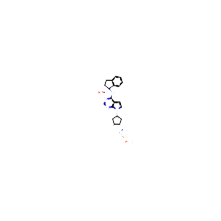 COC[C@]1(Nc2ncnc3c2ccn3[C@H]2C[C@H](CNS(=O)(=O)O)[C@H](O)C2)CCc2ccccc21